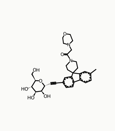 Cc1ccc2c(c1)C1(CCN(C(=O)CN3CCOCC3)CC1)c1cc(C#C[C@H]3O[C@H](CO)[C@@H](O)[C@H](O)[C@@H]3O)ccc1-2